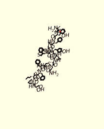 CCCC[C@@H](C(=O)N1CCC[C@@H]1C(=O)N[C@H](C=O)CO)N(C)C(=O)[C@H](Cc1ccccc1)N(C)C(=O)[C@H](Cc1ccccc1)NC(=O)CSC[C@H](NC(=O)[C@H](CC(C)C)NC(=O)[C@H](Cc1ccc(O)cc1)NC(=O)[C@H](Cc1csc2ccccc12)NC(=O)CN(C)C(=O)[C@H](Cc1ccc(O)cc1)NCC(=O)[C@H](Cc1ccccc1)N(C)C(=O)[C@H](C)N)C(=O)NCC(N)=O